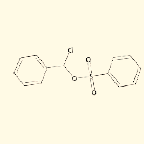 O=S(=O)(OC(Cl)c1ccccc1)c1ccccc1